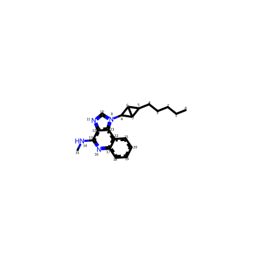 CCCCCC1C2C1C2n1cnc2c(NC)nc3ccccc3c21